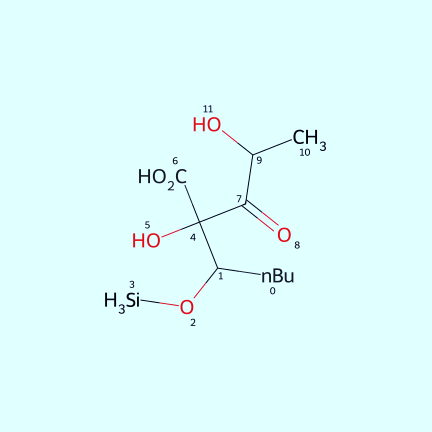 CCCCC(O[SiH3])C(O)(C(=O)O)C(=O)C(C)O